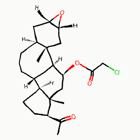 CC(=O)[C@H]1CC[C@H]2[C@@H]3CC[C@H]4C[C@@H]5O[C@@H]5C[C@]4(C)[C@H]3[C@@H](OC(=O)CCl)C[C@]12C